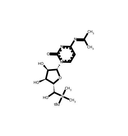 CC(C)=Nc1ccn([C@@H]2O[C@H](C(O)[Si](C)(C)C(C)(C)C)[C@@H](O)[C@H]2O)c(=O)n1